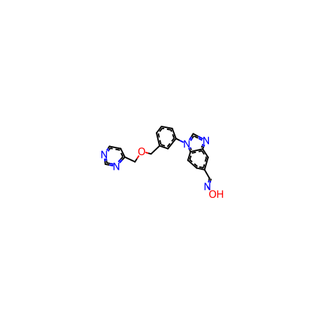 ON=Cc1ccc2c(c1)ncn2-c1cccc(COCc2ccncn2)c1